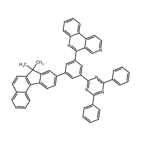 CC1(C)c2cc(-c3cc(-c4nc(-c5ccccc5)nc(-c5ccccc5)n4)cc(-c4nc5ccccc5c5ccncc45)c3)ccc2-c2c1ccc1ccccc21